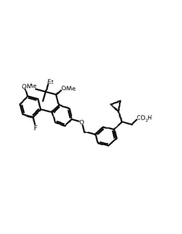 CCC(C)(C)C(OC)c1cc(OCc2cccc(C(CC(=O)O)C3CC3)c2)ccc1-c1cc(OC)ccc1F